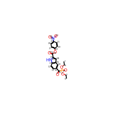 CCOP(=O)(OCC)C(=O)c1ccc2[nH]c(C(=O)Oc3ccc([N+](=O)[O-])cc3)cc2c1